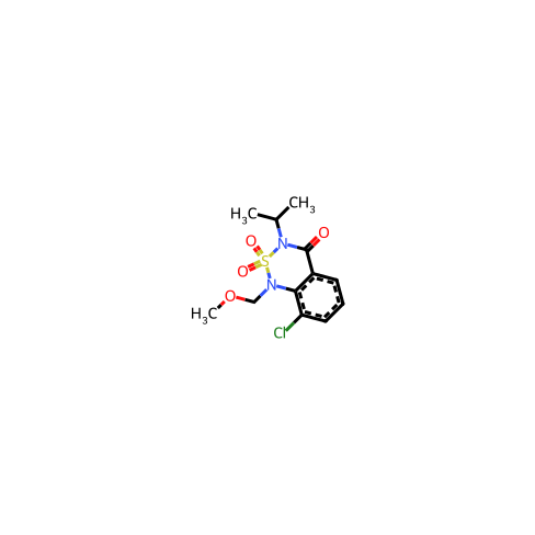 COCN1c2c(Cl)cccc2C(=O)N(C(C)C)S1(=O)=O